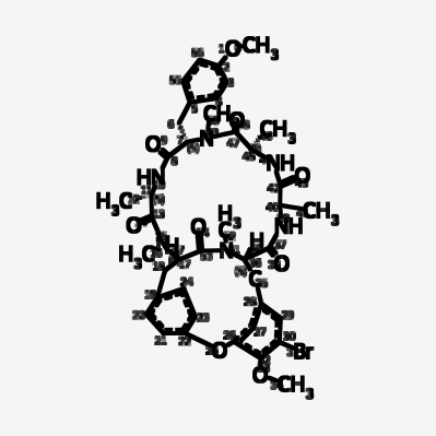 COc1ccc(C[C@H]2C(=O)N[C@@H](C)C(=O)N(C)[C@H]3Cc4ccc(cc4)Oc4cc(cc(Br)c4OC)C[C@@H](C(=O)NC(C)C(=O)N[C@@H](C)C(=O)N2C)N(C)C3=O)cc1